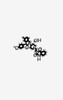 COc1ccc(CC(=O)N(Cc2ccc(C)cc2)C2CCN(CCn3c(=O)[nH]c4ccccc4c3=O)CC2)cc1.Cl